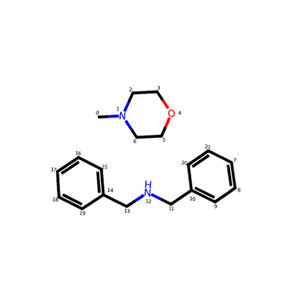 CN1CCOCC1.c1ccc(CNCc2ccccc2)cc1